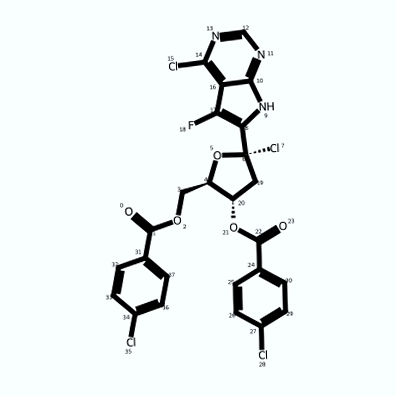 O=C(OC[C@H]1O[C@@](Cl)(c2[nH]c3ncnc(Cl)c3c2F)C[C@@H]1OC(=O)c1ccc(Cl)cc1)c1ccc(Cl)cc1